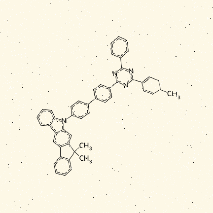 CC1C=CC(c2nc(-c3ccccc3)nc(-c3ccc(-c4ccc(-n5c6ccccc6c6cc7c(cc65)C(C)(C)c5ccccc5-7)cc4)cc3)n2)=CC1